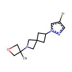 N#CC1(N2CC3(CC(n4cc(Br)cn4)C3)C2)COC1